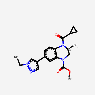 CC(C)OC(=O)N1C[C@H](C)N(C(=O)C2CC2)c2ccc(-c3cnn(CC#N)c3)cc21